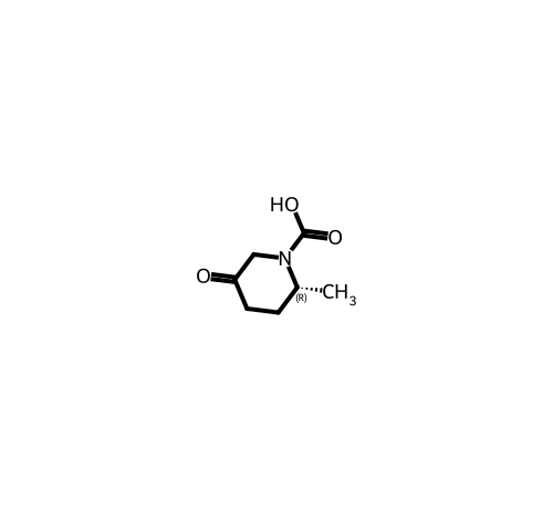 C[C@@H]1CCC(=O)CN1C(=O)O